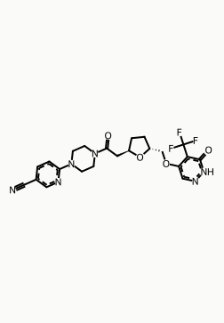 N#Cc1ccc(N2CCN(C(=O)C[C@H]3CC[C@H](COc4cn[nH]c(=O)c4C(F)(F)F)O3)CC2)nc1